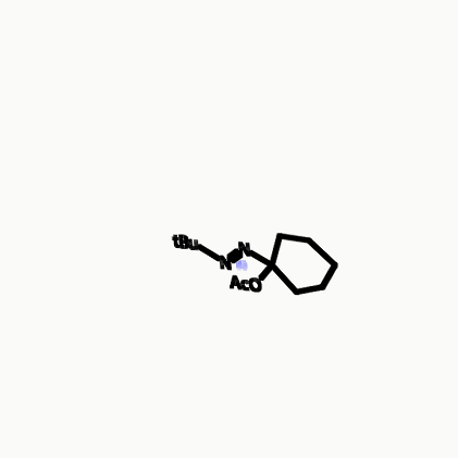 CC(=O)OC1(/N=N/C(C)(C)C)CCCCC1